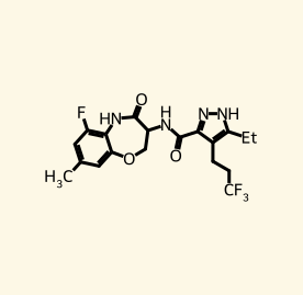 CCc1[nH]nc(C(=O)NC2COc3cc(C)cc(F)c3NC2=O)c1CCC(F)(F)F